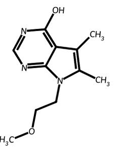 COCCn1c(C)c(C)c2c(O)ncnc21